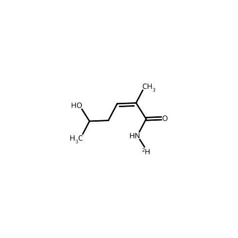 [2H]NC(=O)C(C)=CCC(C)O